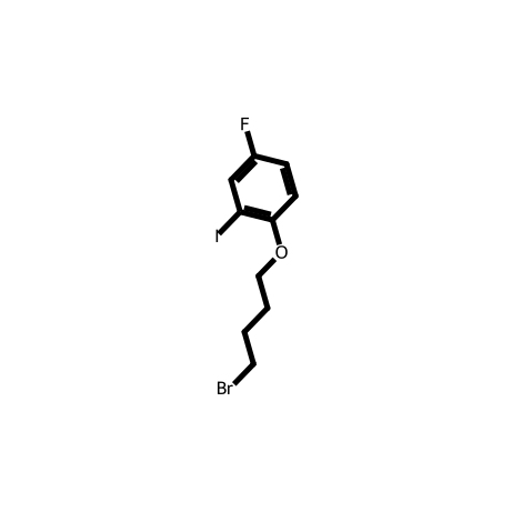 Fc1ccc(OCCCCBr)c(I)c1